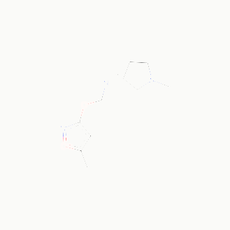 Cc1cc(OCN[C@@H]2CCN(C)C2)no1